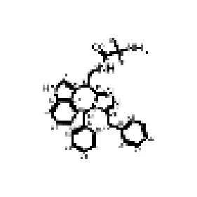 CC(C)(N)C(=O)NCC(c1c[nH]c2ccccc12)c1nnc(Cc2ccccc2)n1Cc1ccccc1